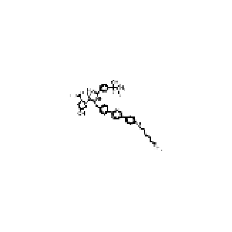 CCCCCCCOc1ccc(-c2cnc(-c3ccc(C[C@H](NC(=O)c4ccc(C(C)(C)C)s4)C(O)N4C[C@H](O)C[C@H]4C(=O)O)cc3)nc2)cc1